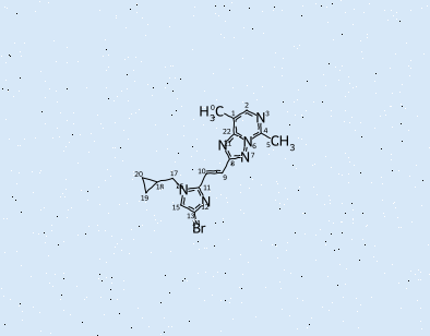 Cc1cnc(C)n2nc(C=Cc3nc(Br)cn3CC3CC3)nc12